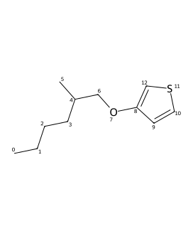 CCCCC(C)COc1ccsc1